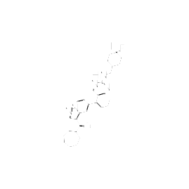 O=C(c1cnn2ccc(C3=CCCc4nc(NCC5CCC(F)(F)CC5)ncc43)cc12)C1CCCCCC1